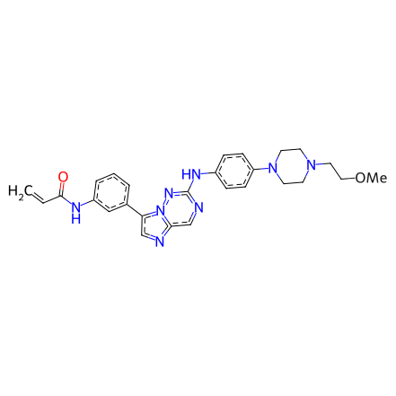 C=CC(=O)Nc1cccc(-c2cnc3cnc(Nc4ccc(N5CCN(CCOC)CC5)cc4)nn23)c1